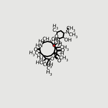 CC[C@H]1OC(=O)[C@H](C)C(=O)[C@H](C)[C@@H](O[C@@H]2O[C@H](C)C[C@H](N(C)C)[C@H]2O)[C@@]2(C)C[C@@H](C)NC(=O)[C@H](C)[C@@H](CCC(=O)CO2)[C@]1(C)O